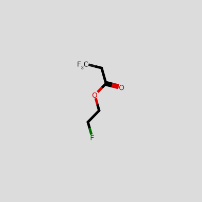 O=C(CC(F)(F)F)OCCF